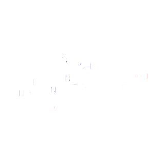 C[C@H](Nc1nccc(N2C(=O)OCC2(C)C)n1)c1ccc(CO)c(F)c1